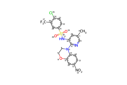 Cc1cnc(N2CCOc3cc([N+](=O)[O-])ccc32)c(NS(=O)(=O)c2ccc(Cl)c(C(F)(F)F)c2)c1